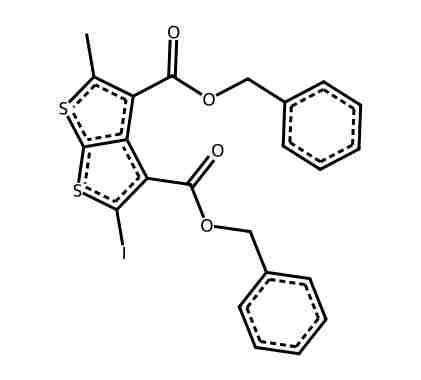 Cc1sc2sc(I)c(C(=O)OCc3ccccc3)c2c1C(=O)OCc1ccccc1